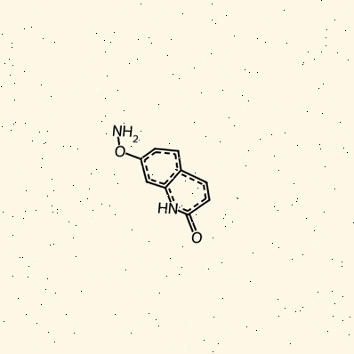 NOc1ccc2ccc(=O)[nH]c2c1